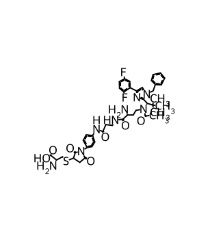 CC(=O)N(CC[C@H](N)C(=O)NCCC(=O)Nc1ccc(N2C(=O)CC(SC[C@H](N)C(=O)O)C2=O)cc1)[C@@H](c1nc(-c2cc(F)ccc2F)cn1Cc1ccccc1)C(C)(C)C